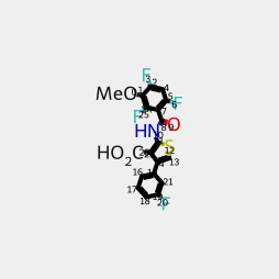 COc1c(F)cc(F)c(C(=O)Nc2scc(-c3cccc(F)c3)c2C(=O)O)c1F